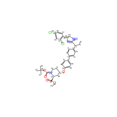 CCC(c1ccc(-c2ccc(O[C@H]3CCN(C(=O)OC(C)(C)C)[C@H](C(=O)OC)C3)cc2)cc1)c1nc(-c2ccc(Cl)cc2Cl)c[nH]1